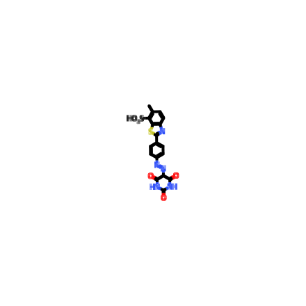 Cc1ccc2nc(-c3ccc(/N=N/C4C(=O)NC(=O)NC4=O)cc3)sc2c1S(=O)(=O)O